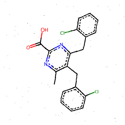 Cc1nc(C(=O)O)nc(Cc2ccccc2Cl)c1Cc1ccccc1Cl